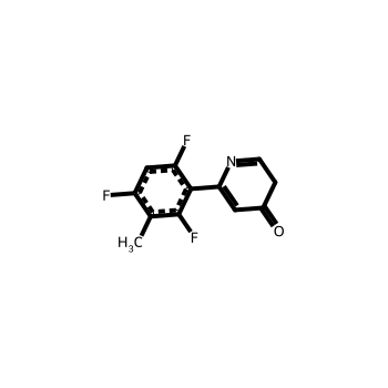 Cc1c(F)cc(F)c(C2=CC(=O)CC=N2)c1F